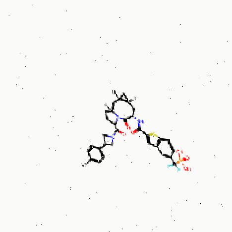 N#Cc1ccc(C2CN(C(=O)[C@@H]3CC[C@@H]4C[C@@H]5C[C@@H]5C[C@H](NC(=O)c5cc6cc(C(F)(F)P(=O)(O)O)ccc6s5)C(=O)N43)C2)cc1